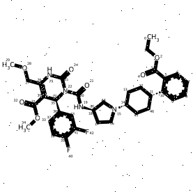 CCOC(=O)c1ccccc1[C@H]1CC[C@@H](N2CC[C@@H](NC(=O)N3C(=O)NC(COC)=C(C(=O)OC)[C@@H]3c3ccc(F)c(F)c3)C2)CC1